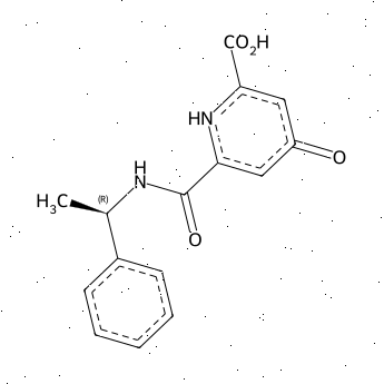 C[C@@H](NC(=O)c1cc(=O)cc(C(=O)O)[nH]1)c1ccccc1